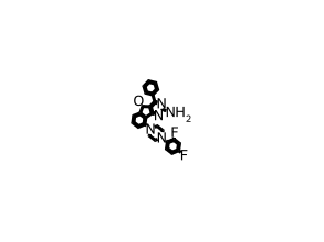 Nc1nc(-c2ccccc2)c2c(n1)-c1c(cccc1N1CCN(c3ccc(F)cc3F)CC1)C2=O